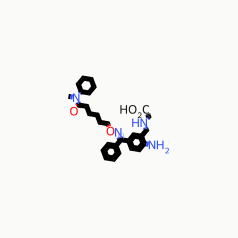 CN(C(=O)CCCCCO/N=C(\c1ccccc1)c1ccc(N)c(CNCC(=O)O)c1)C1CCCCC1